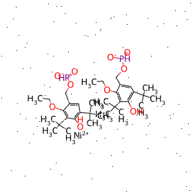 CCOc1c(CO[PH](=O)[O-])cc(C(C)(C)C)c(O)c1C(C)(C)C.CCOc1c(CO[PH](=O)[O-])cc(C(C)(C)C)c(O)c1C(C)(C)C.[Ni+2]